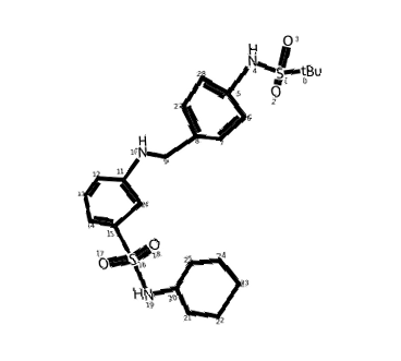 CC(C)(C)S(=O)(=O)Nc1ccc(CNc2cccc(S(=O)(=O)NC3CCCCC3)c2)cc1